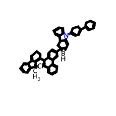 CC1(C)C2=C(C3Cc4ccccc4-c4cc(C56BC5C=C5C(C6)c6ccccc6N5C5=CC=C(C6=CC=CCC6)CC5)ccc43)CCC=C2c2ccccc21